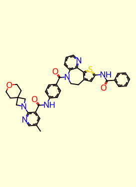 Cc1cnc(N2CC3(CCOCC3)C2)c(C(=O)Nc2ccc(C(=O)N3CCc4cc(NC(=O)c5ccccc5)sc4-c4ncccc43)cc2)c1